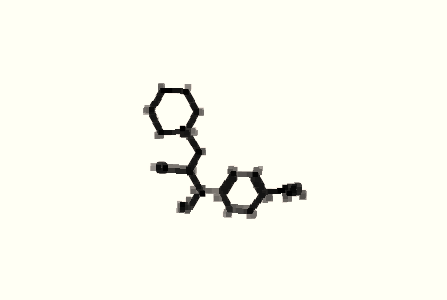 CC(C)N(C(=O)CN1CCCCC1)c1ccc([N+](=O)[O-])cc1